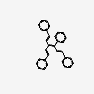 C(=Cc1ccccc1)C(C=Cc1ccccc1)=C(C=Cc1ccccc1)c1ccccc1